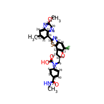 CNC(=O)c1ccc(N(C[C@H]2Cc3c(c(F)cc4nc(-c5cc(C)cc6nc(OC)cnc56)sc34)O2)C(=O)O)cc1